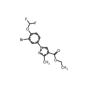 CCOC(=O)c1cn(-c2ccc(OC(F)F)c(Br)c2)nc1C